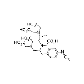 CC(CN(CC(=O)O)C(Cc1ccc(N=C=S)cc1)CN(CC(=O)O)CC(=O)O)N(CC(=O)O)CC(=O)O